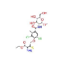 CCOC(=O)c1nnsc1COc1c(Cl)cc(C(=O)N[C@H]2[C@@H](OC)O[C@H](CO)[C@@H](O)[C@@H]2O)c(C)c1Cl